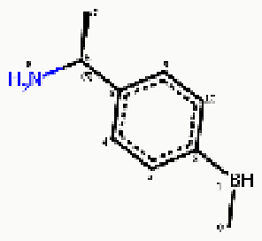 CBc1ccc([C@H](C)N)cc1